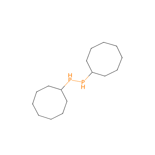 C1CCCC(PPC2CCCCCCC2)CCC1